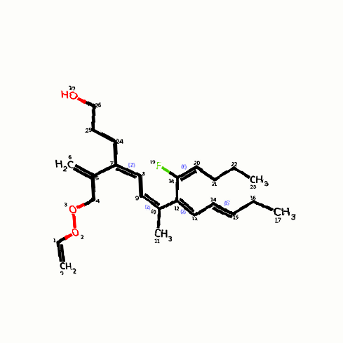 C=COOCC(=C)/C(=C\C=C(C)/C(=C/C=C/CC)C(/F)=C\CCC)CCCO